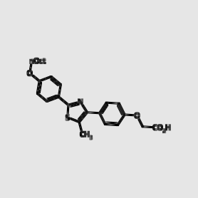 CCCCCCCCOc1ccc(-c2nc(-c3ccc(OCC(=O)O)cc3)c(C)s2)cc1